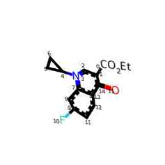 CCOC(=O)c1cn(C2CC2)c2cc(F)ccc2c1=O